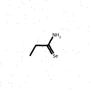 CCC(N)=[Se]